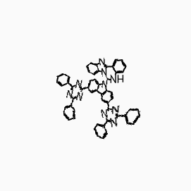 c1ccc(-c2nc(-c3ccccc3)nc(-c3ccc4c(c3)c3cc(-c5nc(-c6ccccc6)nc(-c6ccccc6)n5)ccc3n4C3Nc4ccccc4-c4nc5ccccc5n43)n2)cc1